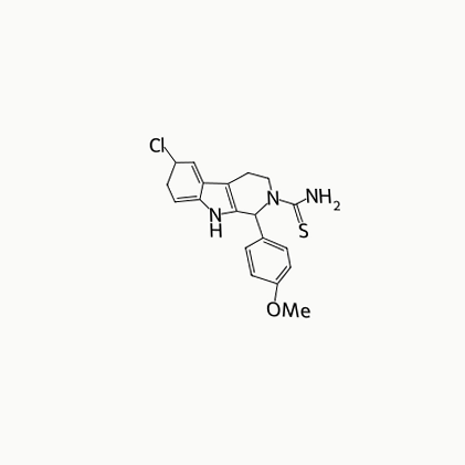 COc1ccc(C2c3[nH]c4c(c3CCN2C(N)=S)=CC(Cl)CC=4)cc1